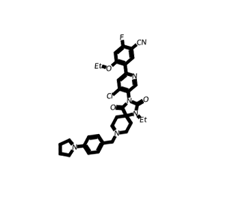 CCOc1cc(F)c(C#N)cc1-c1cc(Cl)c(N2C(=O)N(CC)C3(CCN(Cc4ccc(N5CCCC5)cc4)CC3)C2=O)cn1